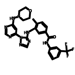 Cc1ccc(C(=O)Nc2cccc(C(F)(F)F)c2)cc1Nc1ncnn1-c1cc(NN2CCOCC2)ncn1